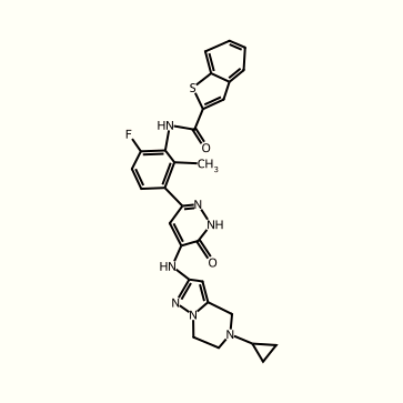 Cc1c(-c2cc(Nc3cc4n(n3)CCN(C3CC3)C4)c(=O)[nH]n2)ccc(F)c1NC(=O)c1cc2ccccc2s1